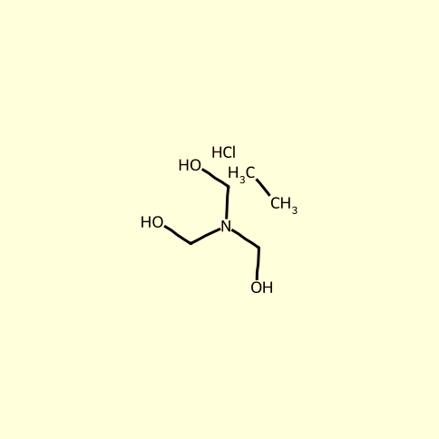 CC.Cl.OCN(CO)CO